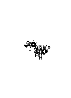 C=CC(=O)Nc1cccc(Nc2ncc(Cl)c(Nc3ccccc3CNC)n2)c1